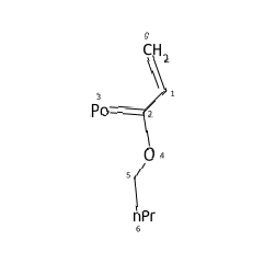 C=C[C](=[Po])OCCCC